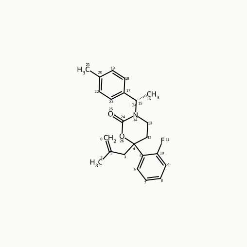 C=C(C)CC1(c2ccccc2F)CCN([C@@H](C)c2ccc(C)cc2)C(=O)O1